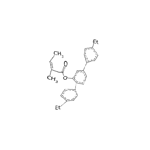 C/C=C(/C)C(=O)Oc1cc(-c2ccc(CC)cc2)ccc1-c1ccc(CC)cc1